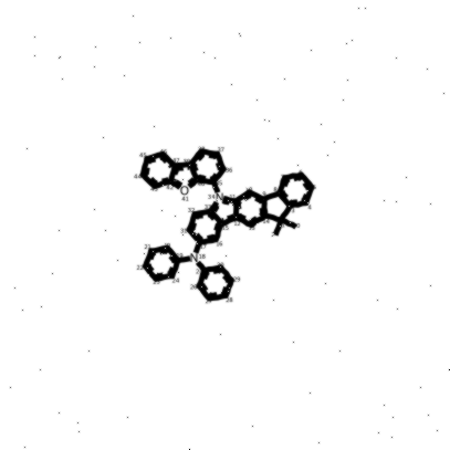 CC1(C)c2ccccc2-c2cc3c(cc21)c1cc(N(c2ccccc2)c2ccccc2)ccc1n3-c1cccc2c1oc1ccccc12